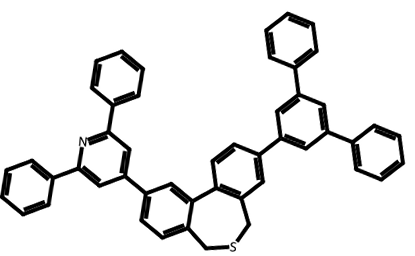 c1ccc(-c2cc(-c3ccccc3)cc(-c3ccc4c(c3)CSCc3ccc(-c5cc(-c6ccccc6)nc(-c6ccccc6)c5)cc3-4)c2)cc1